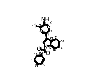 Nc1ncc(-c2cn(S(=O)(=O)c3ccccc3)c3ccccc23)nc1I